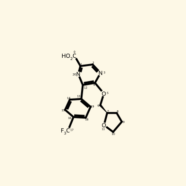 O=C(O)c1cnc(OC[C@H]2CCCO2)c(-c2ccc(C(F)(F)F)cc2)n1